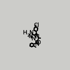 Cc1ccccc1-c1cc(C(C)n2cc(-c3ccc(Cl)cc3)c3c(N)ncnc32)on1